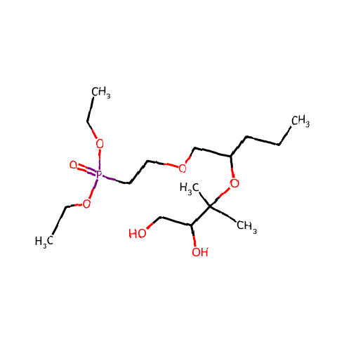 CCCC(COCCP(=O)(OCC)OCC)OC(C)(C)C(O)CO